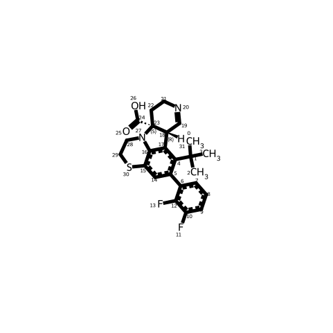 CC(C)(C)c1c(-c2cccc(F)c2F)cc2c3c1[C@H]1C=NCC[C@]1(C(=O)O)N3CCS2